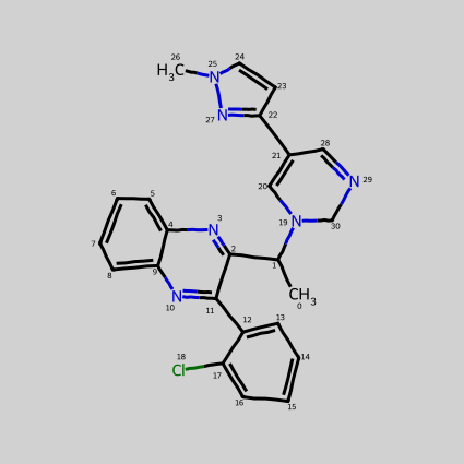 CC(c1nc2ccccc2nc1-c1ccccc1Cl)N1C=C(c2ccn(C)n2)C=NC1